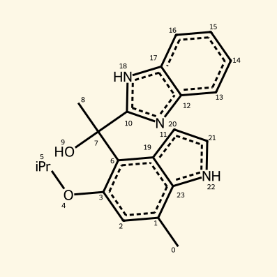 Cc1cc(OC(C)C)c(C(C)(O)c2nc3ccccc3[nH]2)c2cc[nH]c12